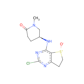 CN1C[C@@H](Nc2nc(Cl)nc3c2[S@+]([O-])CC3)CCC1=O